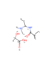 C=C(C)C(=O)NC(CC)N(C)C.CC(O)C(=O)O